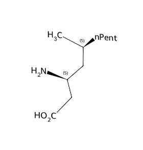 CCCCC[C@H](C)C[C@H](N)CC(=O)O